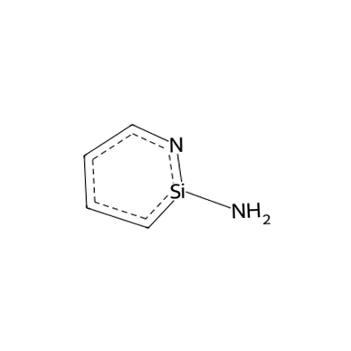 N[si]1ccccn1